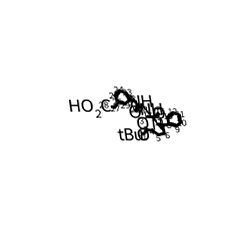 CC(C)(C)OC(=O)C1CCC(c2ccccc2)N1C(=O)CNC(=O)Nc1cccc(CC(=O)O)c1